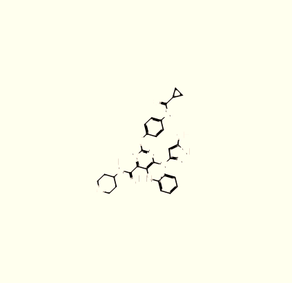 Cc1cc(Nc2nc(Sc3ccc(NC(=O)C4CC4)cc3)nc(C(=O)NC3CCOCC3)c2Nc2ccccc2)n[nH]1